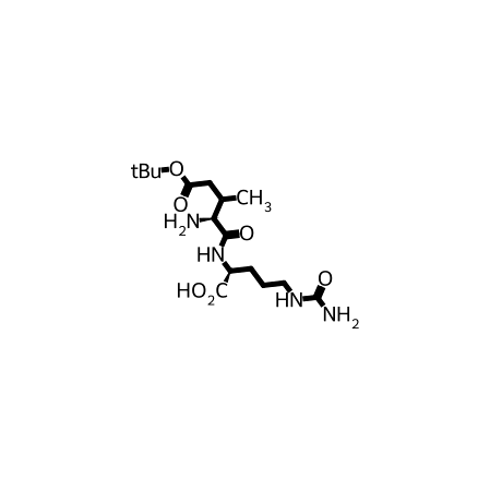 CC(CC(=O)OC(C)(C)C)[C@H](N)C(=O)N[C@@H](CCCNC(N)=O)C(=O)O